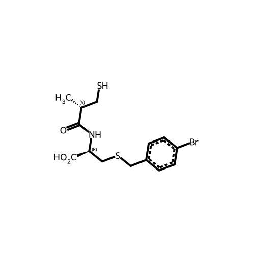 C[C@H](CS)C(=O)N[C@@H](CSCc1ccc(Br)cc1)C(=O)O